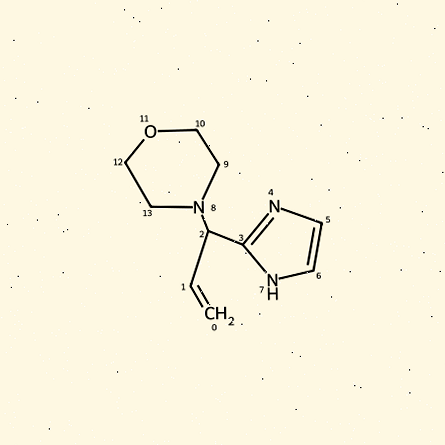 C=CC(c1ncc[nH]1)N1CCOCC1